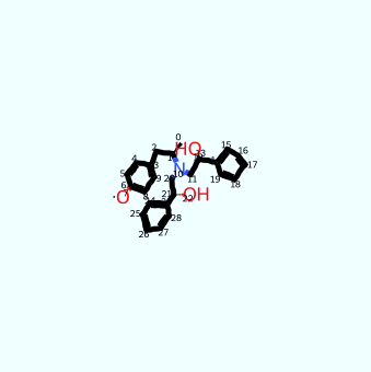 C[C@H](Cc1ccc([O])cc1)N(C[C@H](O)c1ccccc1)C[C@H](O)c1ccccc1